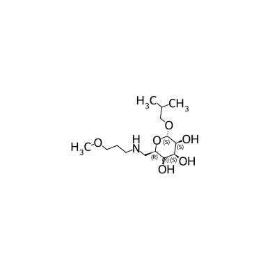 COCCCNC[C@H]1O[C@H](OCC(C)C)[C@@H](O)[C@@H](O)[C@H]1O